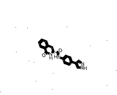 O=C1N[C@@H](C(=O)Nc2ccc(-c3cn[nH]c3)cc2)Cc2ccccc21